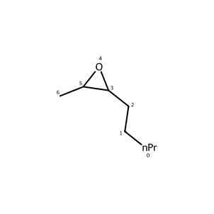 [CH2]CCCCC1OC1C